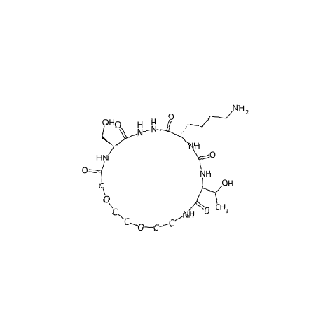 CC(O)C1NC(=O)N[C@@H](CCCCN)C(=O)NNC(=O)[C@H](CO)NC(=O)COCCOCCNC1=O